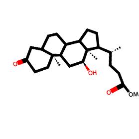 COC(=O)CC[C@@H](C)C1CCC2C3CCC4CC(=O)CC[C@]4(C)C3C[C@H](O)[C@@]21C